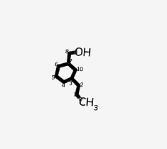 CCCC1CCCC(CO)C1